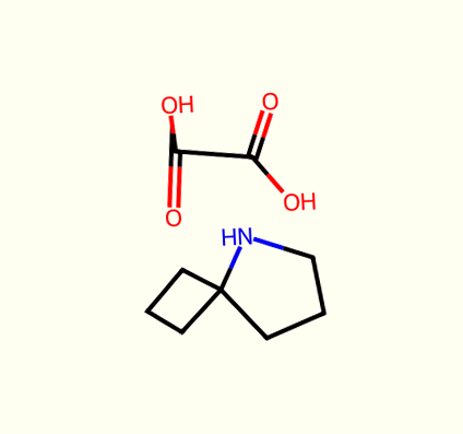 C1CNC2(C1)CCC2.O=C(O)C(=O)O